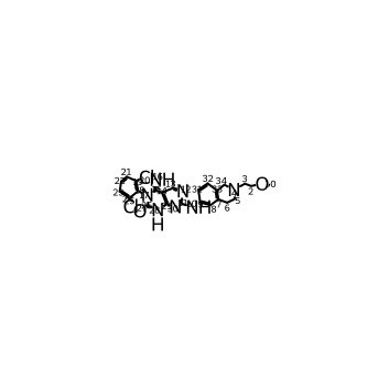 COCCN1CCc2cc(Nc3ncc4c(=N)n(-c5c(Cl)cccc5Cl)c(=O)[nH]c4n3)ccc2C1